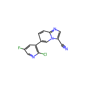 N#Cc1cnc2ccc(-c3cc(F)cnc3Cl)cn12